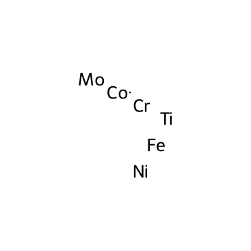 [Co].[Cr].[Fe].[Mo].[Ni].[Ti]